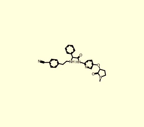 CN1CC[C@H](Oc2ccc(NC(=O)C(NCCc3ccc(C#N)cc3)c3ccccc3)nc2)C1=O